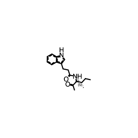 CC[C@H](C)[C@H](NC(=O)CCc1c[nH]c2ccccc12)C(C)=O